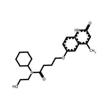 Cc1cc(=O)[nH]c2ccc(OCCCC(=O)N(CCO)C3CCCCC3)cc12